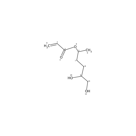 C=CC(=O)OC(C)CCC(O)CO